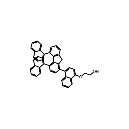 OCCOc1ccc(-c2ccc(-c3cccc4ccccc34)c3c2Cc2cccc(-c4cccc5ccccc45)c2-3)c2ccccc12